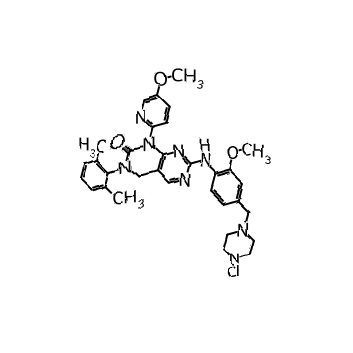 COc1ccc(N2C(=O)N(c3c(C)cccc3C)Cc3cnc(Nc4ccc(CN5CCN(Cl)CC5)cc4OC)nc32)nc1